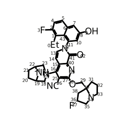 CCc1c(F)ccc2cc(O)cc(-n3ccc4c(N5CC6CCC(C5)N6)c(C#N)c(OC[C@@]56CCCN5C[C@H](F)C6)nc4c3=O)c12